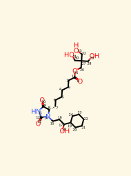 O=C(CCCCCC[C@H]1C(=O)NC(=O)N1CCC(O)C1CCCCC1)OCC(CO)(CO)CO